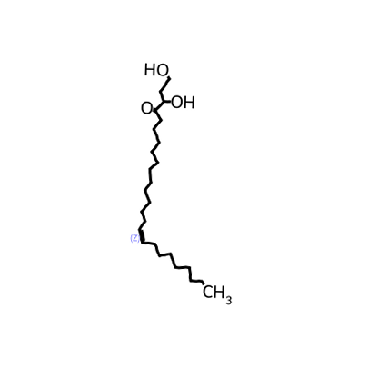 CCCCCCCC/C=C\CCCCCCCCCCCC(=O)C(O)CCO